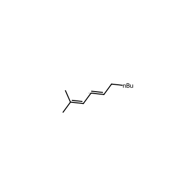 CCCCC/C=[C]/C=C(C)C